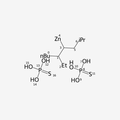 CCCCC(CC)[CH]([Zn])CC(C)C.OP(O)(O)=S.OP(O)(O)=S